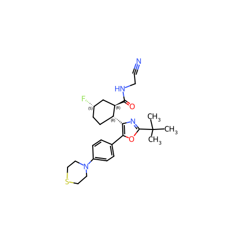 CC(C)(C)c1nc([C@@H]2CC[C@H](F)C[C@H]2C(=O)NCC#N)c(-c2ccc(N3CCSCC3)cc2)o1